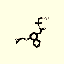 O=C(Cc1ccc(OCC2CO2)c2ccccc12)OC(CS(=O)(=O)O)(C(F)(F)F)C(F)(F)F